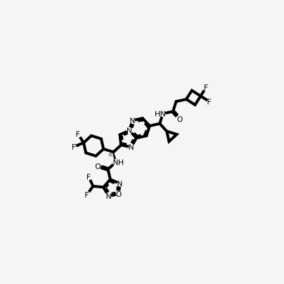 O=C(CC1CC(F)(F)C1)NC(c1cnn2cc([C@@H](NC(=O)c3nonc3C(F)F)C3CCC(F)(F)CC3)nc2c1)C1CC1